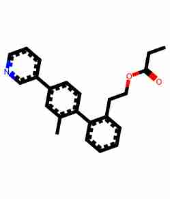 CCC(=O)OCCc1ccccc1-c1ccc(-c2cccnc2)cc1C